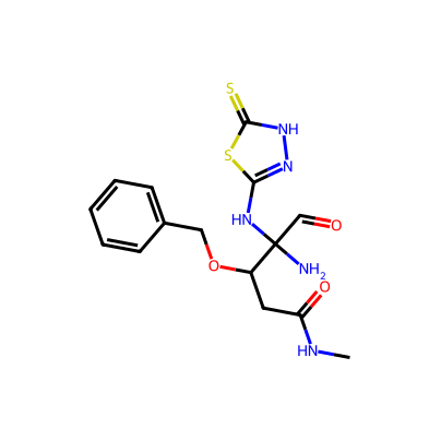 CNC(=O)CC(OCc1ccccc1)C(N)(C=O)Nc1n[nH]c(=S)s1